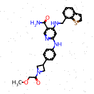 COCC(=O)N1CC(c2ccc(Nc3cc(NCc4cccc5ccsc45)c(C(N)=O)cn3)cc2)C1